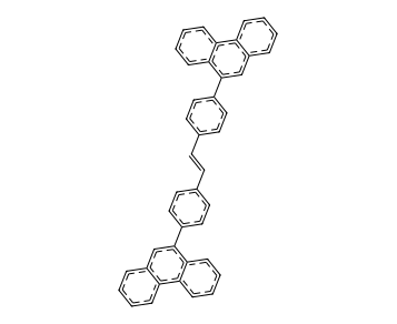 C(=C\c1ccc(-c2cc3ccccc3c3ccccc23)cc1)/c1ccc(-c2cc3ccccc3c3ccccc23)cc1